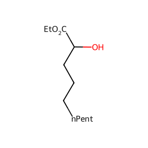 CCCCCCCCC(O)C(=O)OCC